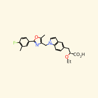 CCO[C@@H](Cc1ccc2c(ccn2Cc2nc(-c3ccc(F)c(C)c3)oc2C)c1)C(=O)O